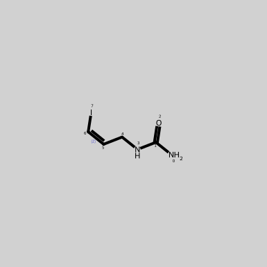 NC(=O)NC/C=C\I